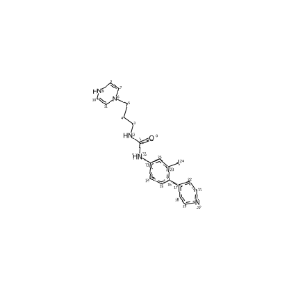 O=C(NCCCN1C=CNC=C1)Nc1ccc(-c2ccncc2)c(I)c1